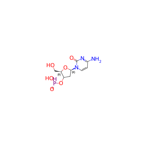 Nc1ccn([C@H]2CC(O[PH](=O)O)[C@@H](CO)O2)c(=O)n1